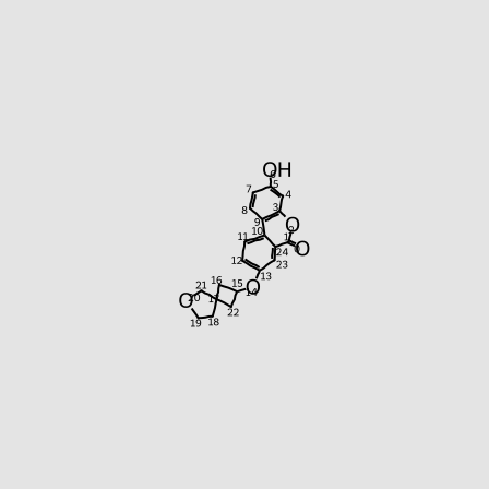 O=c1oc2cc(O)ccc2c2ccc(OC3CC4(CCOC4)C3)cc12